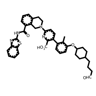 Cc1c(OC2CCC(CCCC=O)CC2)cccc1-c1ccc(N2CCc3cccc(C(=O)Nc4nc5ccccc5s4)c3C2)nc1C(=O)O